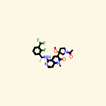 COC1(c2cc3c(N[C@H](C)c4cccc(C(F)F)c4F)nccc3n(C)c2=O)CCN(C(C)=O)C1